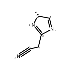 N#CCc1ncsn1